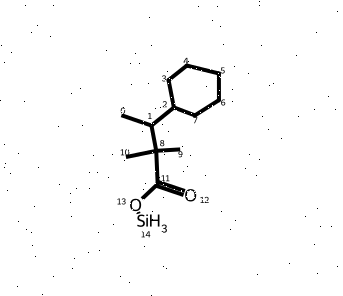 CC(C1CCCCC1)C(C)(C)C(=O)O[SiH3]